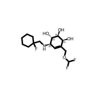 O[C@@H]1[C@@H](O)[C@@H](O)C(COC(F)F)=C[C@H]1NCC1(F)CCCCC1